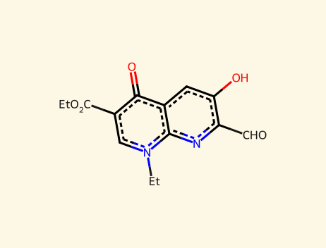 CCOC(=O)c1cn(CC)c2nc(C=O)c(O)cc2c1=O